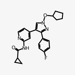 O=C(Nc1cc(-c2cn(OC3CCCC3)nc2-c2ccc(F)cc2)ccn1)C1CC1